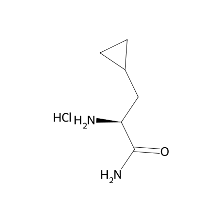 Cl.NC(=O)[C@@H](N)CC1CC1